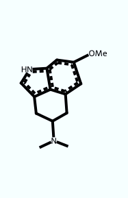 COc1cc2c3c(c[nH]c3c1)CC(N(C)C)C2